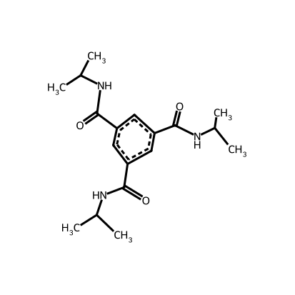 CC(C)NC(=O)c1cc(C(=O)NC(C)C)cc(C(=O)NC(C)C)c1